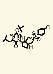 CC(C)C[C@@H](C(=O)N[C@@H]1CC[C@H]2CN(S(=O)(=O)c3ccc(Cl)cc3)C[C@H]21)N(C)C(=O)OC(C)(C)C